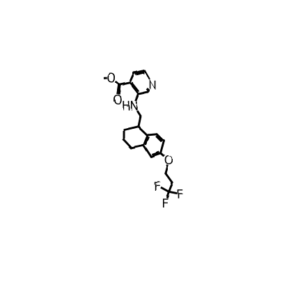 COC(=O)c1ccncc1NCC1CCCc2cc(OCCC(F)(F)F)ccc21